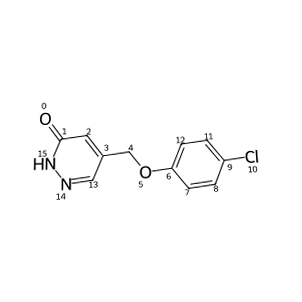 O=c1cc(COc2ccc(Cl)cc2)cn[nH]1